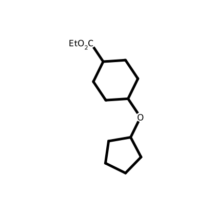 CCOC(=O)C1CCC(OC2CCCC2)CC1